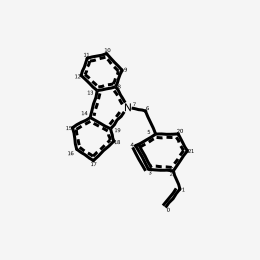 C=Cc1c#cc(Cn2c3ccccc3c3ccccc32)cc1